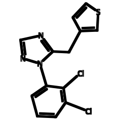 Clc1cccc(-n2ncnc2Cc2ccsc2)c1Cl